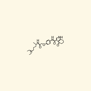 CCN(CC)CCCC(C)NC(=O)COc1ccc(NC(=O)c2c[nH]c3c2C(=O)CCC3)cc1